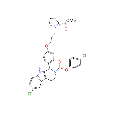 COC(=O)[C@H]1CCCN1CCCOc1ccc(C2c3[nH]c4ccc(Cl)cc4c3CCN2C(=O)Oc2ccc(Cl)cc2)cc1